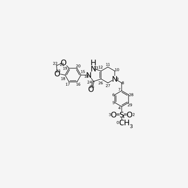 CS(=O)(=O)c1ccc(CN2CCc3[nH]n(-c4ccc5c(c4)OCO5)c(=O)c3C2)cc1